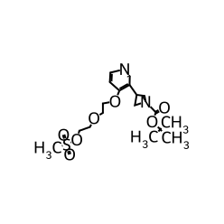 CC(C)(C)OC(=O)N1CC(c2cnccc2OCCOCCOS(C)(=O)=O)C1